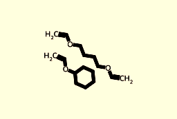 C=COC1CCCCC1.C=COCCCCOC=C